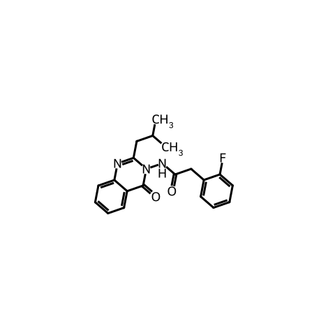 CC(C)Cc1nc2ccccc2c(=O)n1NC(=O)Cc1ccccc1F